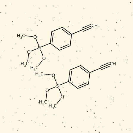 C#Cc1ccc([Si](OC)(OC)OC)cc1.C#Cc1ccc([Si](OC)(OC)OC)cc1